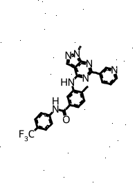 Cc1ccc(C(=O)Nc2ccc(C(F)(F)F)cc2)cc1Nc1nc(-c2cccnc2)nc2c1cnn2C